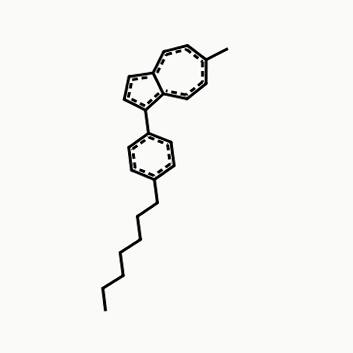 CCCCCCCc1ccc(-c2ccc3ccc(C)ccc2-3)cc1